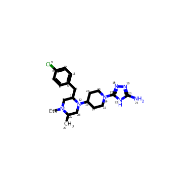 CCN1CC(Cc2ccc(Cl)cc2)N(C2CCN(c3nnc(N)[nH]3)CC2)CC1C